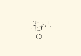 CN(C)CCC(=NNC(N)=S)c1ccccc1